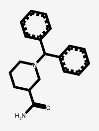 NC(=O)C1CCCN(C(c2ccccc2)c2ccccc2)C1